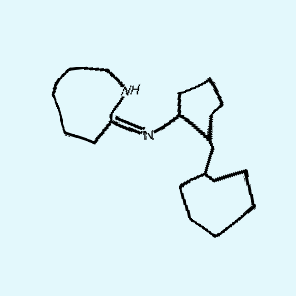 C1CCNC(=NC2CCCC2C2CCCCC2)CC1